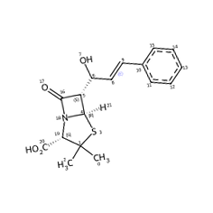 CC1(C)S[C@@H]2[C@@H](C(O)/C=C/c3ccccc3)C(=O)N2[C@H]1C(=O)O